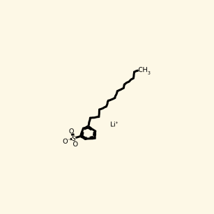 CCCCCCCCCCCCc1cccc(S(=O)(=O)[O-])c1.[Li+]